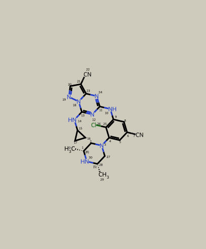 C[C@@H]1CN(c2cc(C#N)cc(Nc3nc(NC4CC4)n4ncc(C#N)c4n3)c2Cl)C[C@H](C)N1